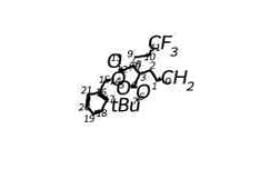 C=CCC(C(=O)OC(C)(C)C)[C@@H](CCC(F)(F)F)C(=O)OCc1ccccc1